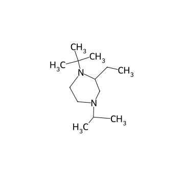 CCC1CN(C(C)C)CCN1C(C)(C)C